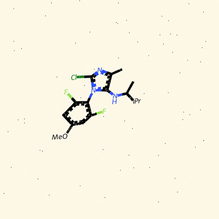 COc1cc(F)c(-n2c(Cl)nc(C)c2NC(C)C(C)C)c(F)c1